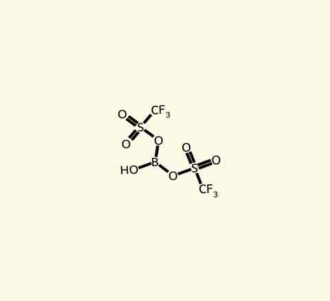 O=S(=O)(OB(O)OS(=O)(=O)C(F)(F)F)C(F)(F)F